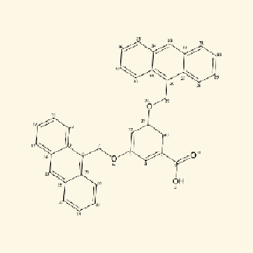 O=C(O)C1=CC(OCc2c3ccccc3cc3ccccc23)=CC(OCc2c3ccccc3cc3ccccc23)C1